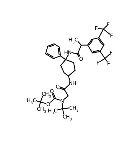 CC(C(=O)NC1(c2ccccc2)CCC(NC(=O)CN(C(=O)OC(C)(C)C)C(C)(C)C)CC1)c1cc(C(F)(F)F)cc(C(F)(F)F)c1